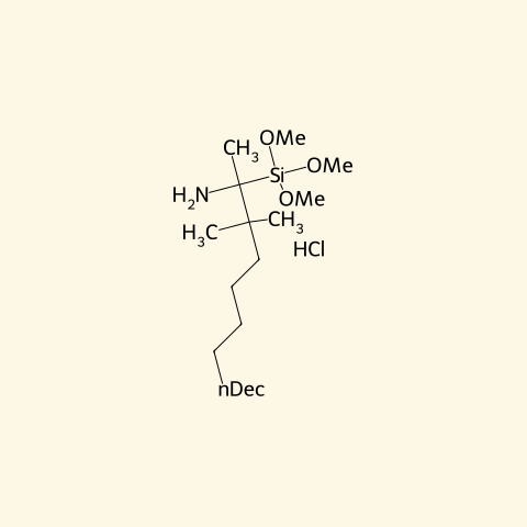 CCCCCCCCCCCCCCC(C)(C)C(C)(N)[Si](OC)(OC)OC.Cl